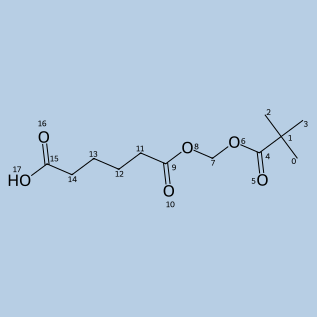 CC(C)(C)C(=O)OCOC(=O)CCCCC(=O)O